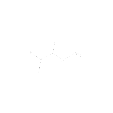 CB(F)C(C)SP